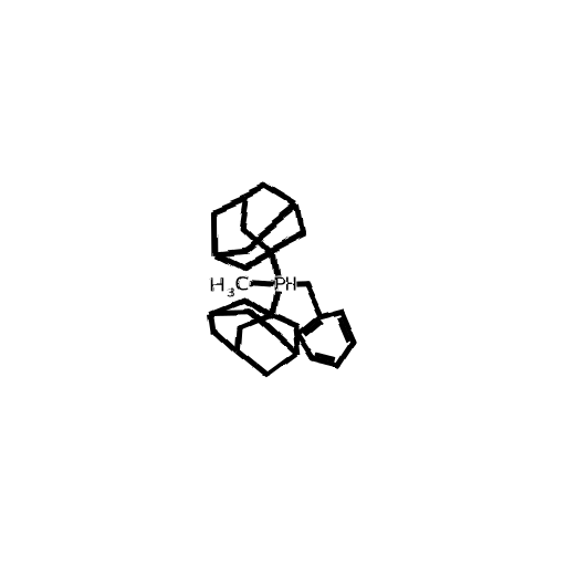 C[PH](Cc1ccccc1)(C12CC3CC(CC(C3)C1)C2)C12CC3CC(CC(C3)C1)C2